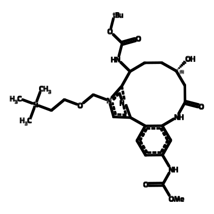 COC(=O)Nc1ccc2c(c1)NC(=O)C[C@@H](O)CCC(NC(=O)OC(C)(C)C)c1nc-2cn1COCC[Si](C)(C)C